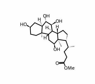 COC(=O)CC[C@@H](C)[C@H]1CC[C@H]2[C@@H]3[C@H](O)[C@@H](O)[C@@H]4C[C@H](O)CC[C@]4(C)[C@H]3C[C@H](O)[C@]12C